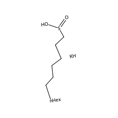 CCCCCCCCCCCCS(=O)O.[KH]